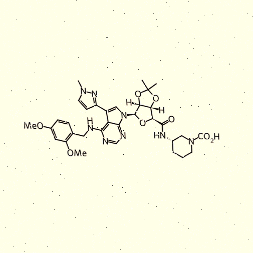 COc1ccc(CNc2ncnc3c2c(-c2ccn(C)n2)cn3[C@@H]2O[C@H](C(=O)N[C@H]3CCCN(C(=O)O)C3)[C@H]3OC(C)(C)O[C@H]32)c(OC)c1